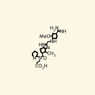 COc1cc(C(=N)N)ccc1NCc1nc2c(C)c(C(=O)N(CCC(=O)O)c3ccccn3)ccc2[nH]1